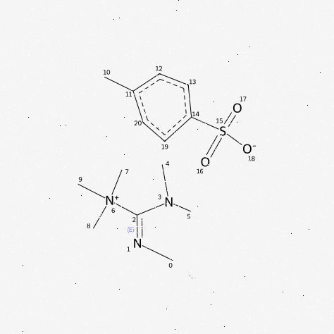 C/N=C(\N(C)C)[N+](C)(C)C.Cc1ccc(S(=O)(=O)[O-])cc1